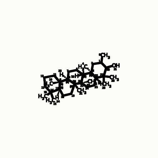 CC1C[C@]2(C)[C@H]3CC[C@@H]4[C@@]5(C)CCCC(C)(C)[C@@H]5CC[C@@]4(C)[C@]3(C)CC[C@H]2C(C)(C)C1O